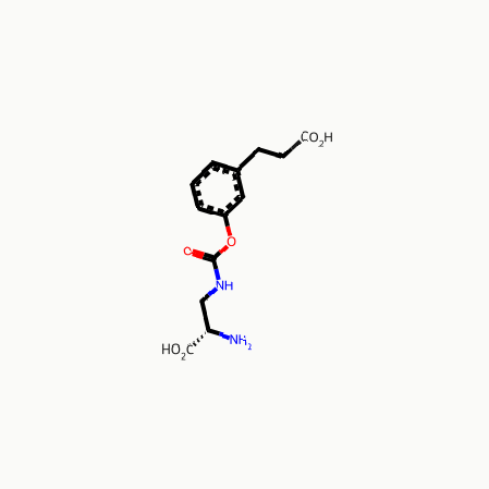 N[C@@H](CNC(=O)Oc1cccc(CCC(=O)O)c1)C(=O)O